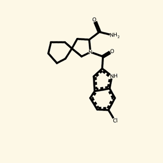 NC(=O)C1CC2(CCCCC2)CN1C(=O)c1cc2ccc(Cl)cc2[nH]1